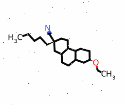 CCCCC[C@@]1(C#N)CCC2C(CCC3C[C@@H](OCC)CCC32)C1